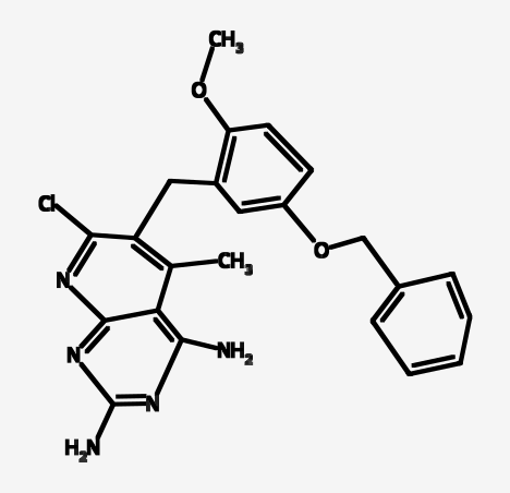 COc1ccc(OCc2ccccc2)cc1Cc1c(Cl)nc2nc(N)nc(N)c2c1C